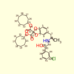 C[C@H](Cc1ccc2c(c1)OC(C(=O)OC1CCCCCCC1)(C(=O)OC1CCCCCCC1)O2)NC[C@H](O)c1cccc(Cl)c1